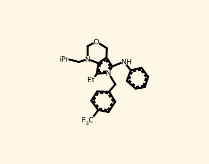 CCc1c2c(c(Nc3ccccc3)n1Cc1ccc(C(F)(F)F)cc1)COCN2CC(C)C